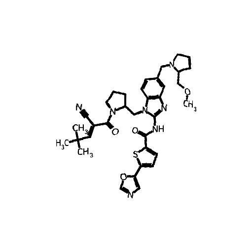 COCC1CCCN1Cc1ccc2c(c1)nc(NC(=O)c1ccc(-c3cnco3)s1)n2CC1CCCN1C(=O)C(C#N)=CC(C)(C)C